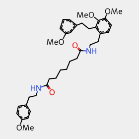 COc1ccc(CCNC(=O)CCCCCCC(=O)NCCc2ccc(OC)c(OC)c2CCc2cccc(OC)c2)cc1